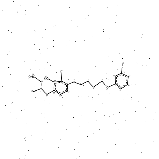 Cc1c(OCCCCOc2cccc(F)c2)ccc(CC(C)CC=O)c1O